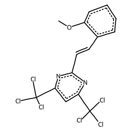 COc1ccccc1C=Cc1nc(C(Cl)(Cl)Cl)cc(C(Cl)(Cl)Cl)n1